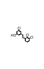 Oc1cc(Cl)cc(C=Nc2cccc(Cl)c2Cl)c1